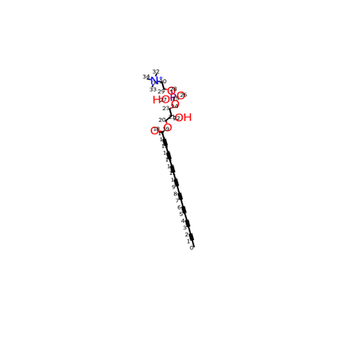 CC#CC#CC#CC#CC#CC#CC#CC#CC(=O)OC[C@@H](O)COP(=O)(O)OCC[N+](C)(C)C